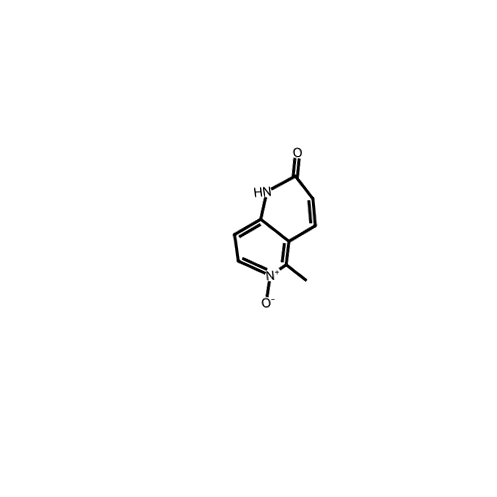 Cc1c2ccc(=O)[nH]c2cc[n+]1[O-]